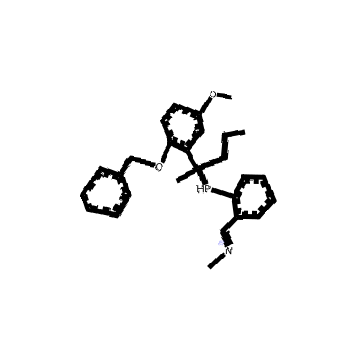 CCCC(C)(Pc1ccccc1/C=N/C)c1cc(OC)ccc1OCc1ccccc1